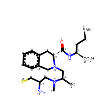 CSCC[C@H](NC(=O)[C@H]1Cc2ccccc2CN1CC(C(C)C)N(C)CC(N)CS)C(=O)O